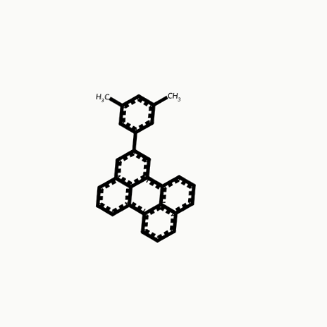 Cc1cc(C)cc(-c2cc3cccc4c5cccc6cccc(c(c2)c34)c65)c1